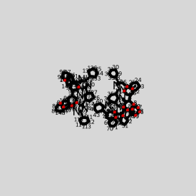 Cc1ccc2c(c1)c1cc(C)ccc1n2-c1c(-c2nc(-c3ccccc3)cc(-c3ccccc3)n2)ccc(-n2c3ccccc3c3ccc(-c4cccc(-c5ccccc5)n4)cc32)c1-c1nc(-c2ccccc2)cc(-c2ccccc2)n1.c1ccc(-c2ccc3c(c2)c2cc(-c4ccccc4)ccc2n3-c2c(-c3nc(-c4ccccc4)nc(-c4ccccc4)n3)cccc2-c2nc(-c3ccccc3)nc(-c3ccccc3)n2)cc1